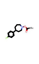 CC(C)(C)C(=O)ON1CCCC(c2ccc(F)cc2)CC1